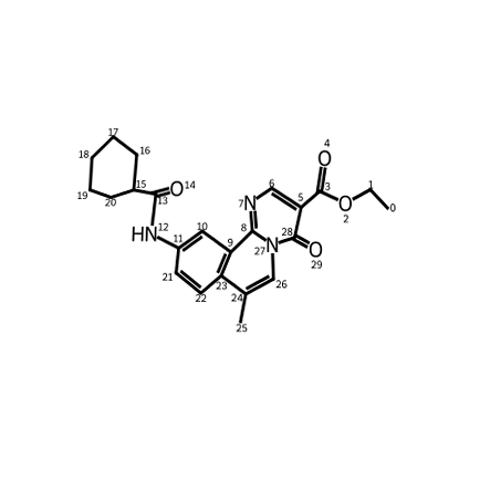 CCOC(=O)c1cnc2c3cc(NC(=O)C4CCCCC4)ccc3c(C)cn2c1=O